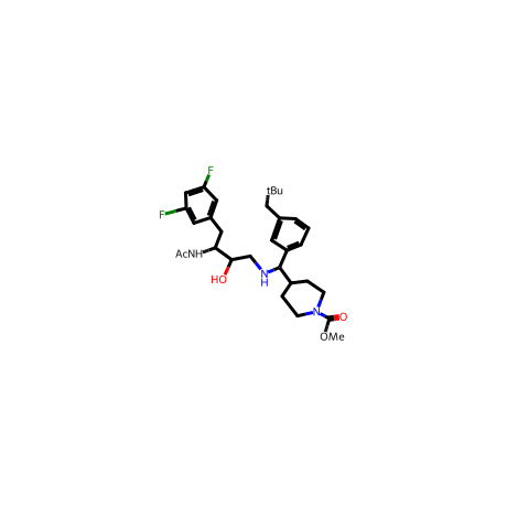 COC(=O)N1CCC(C(NCC(O)C(Cc2cc(F)cc(F)c2)NC(C)=O)c2cccc(CC(C)(C)C)c2)CC1